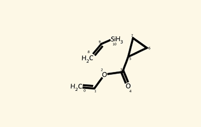 C=COC(=O)C1CC1.C=C[SiH3]